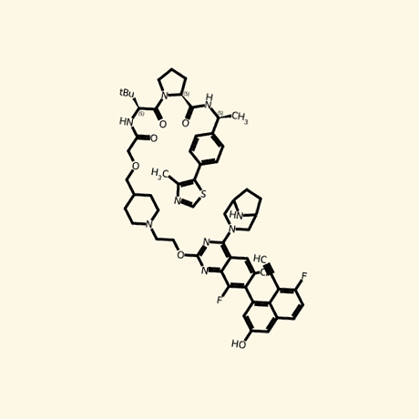 C#Cc1c(F)ccc2cc(O)cc(-c3c(Cl)cc4c(N5CC6CCC(C5)N6)nc(OCCN5CCC(COCC(=O)N[C@H](C(=O)N6CCC[C@H]6C(=O)N[C@@H](C)c6ccc(-c7scnc7C)cc6)C(C)(C)C)CC5)nc4c3F)c12